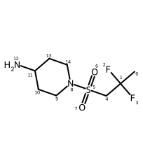 CC(F)(F)CS(=O)(=O)N1CCC(N)CC1